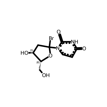 O=c1ccn(C2(Br)C[C@H](O)[C@@H](CO)O2)c(=O)[nH]1